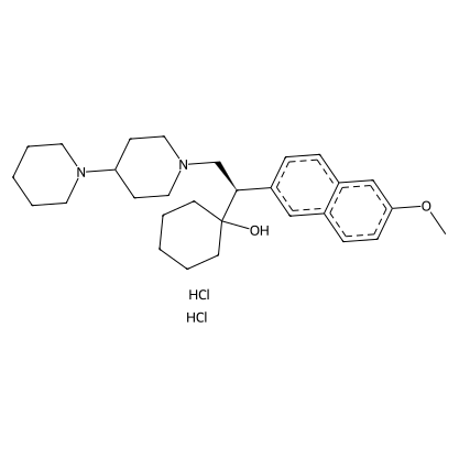 COc1ccc2cc([C@H](CN3CCC(N4CCCCC4)CC3)C3(O)CCCCC3)ccc2c1.Cl.Cl